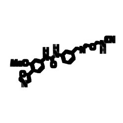 COc1cc(NC(=O)Nc2cccc(CN=COCNC#N)c2)ccc1-c1cnco1